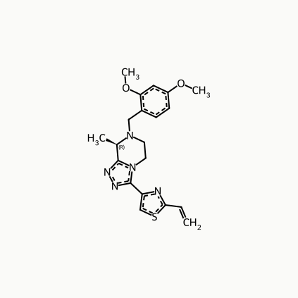 C=Cc1nc(-c2nnc3n2CCN(Cc2ccc(OC)cc2OC)[C@@H]3C)cs1